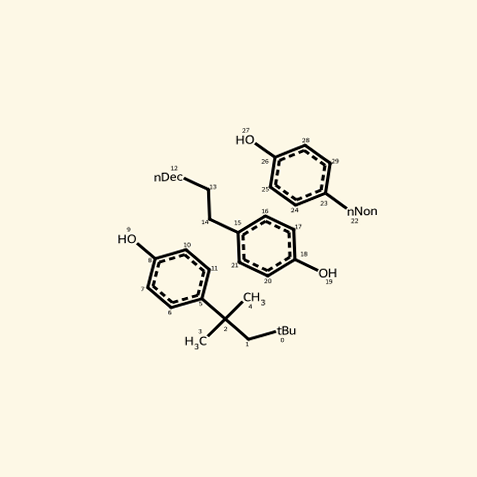 CC(C)(C)CC(C)(C)c1ccc(O)cc1.CCCCCCCCCCCCc1ccc(O)cc1.CCCCCCCCCc1ccc(O)cc1